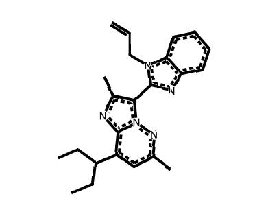 C=CCn1c(-c2c(C)nc3c(C(CC)CC)cc(C)nn23)nc2ccccc21